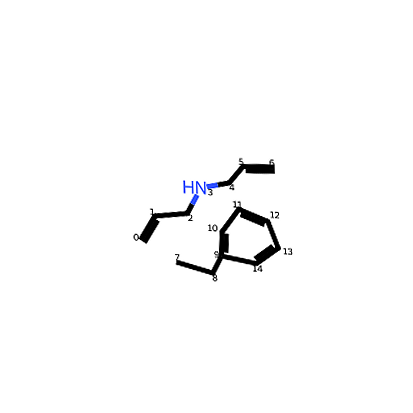 C=CCNCC=C.CCc1ccccc1